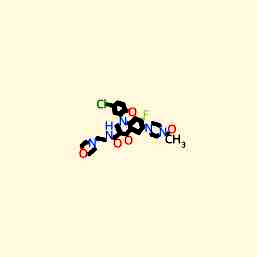 CC(=O)N1CCN(c2cc3c(=O)c(C(=O)NCCN4CCOCC4)cn4c3c(c2F)Oc2ccc(Cl)cc2-4)CC1